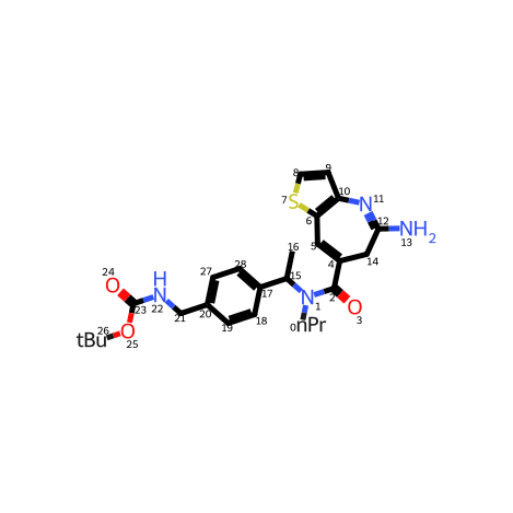 CCCN(C(=O)C1=Cc2sccc2N=C(N)C1)C(C)c1ccc(CNC(=O)OC(C)(C)C)cc1